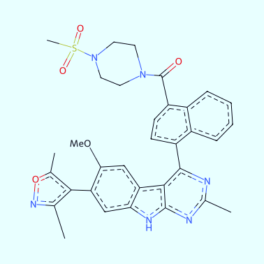 COc1cc2c(cc1-c1c(C)noc1C)[nH]c1nc(C)nc(-c3ccc(C(=O)N4CCN(S(C)(=O)=O)CC4)c4ccccc34)c12